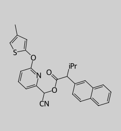 Cc1csc(Oc2cccc(C(C#N)OC(=O)C(c3ccc4ccccc4c3)C(C)C)n2)c1